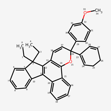 CCC1(CC)c2ccccc2-c2c1c1c(c3ccccc23)OC(C2=CCCC=C2)(c2ccc(OC)cc2)C=C1